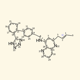 C/C=C/Cc1cc(NCc2ccc(-c3ccccc3-c3nnn[nH]3)cc2)c2ncccc2n1